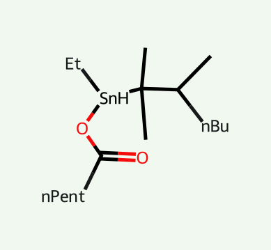 CCCCCC(=O)[O][SnH]([CH2]C)[C](C)(C)C(C)CCCC